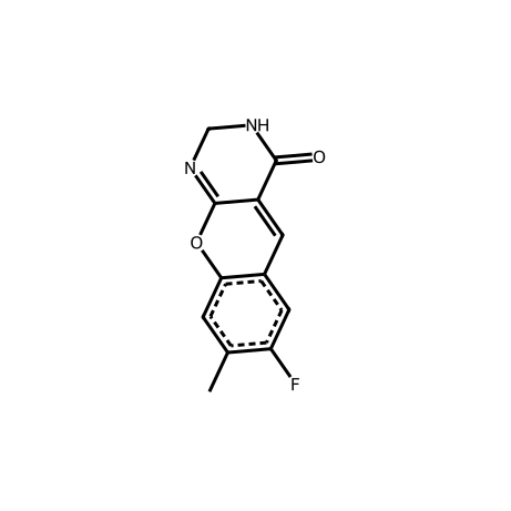 Cc1cc2c(cc1F)C=C1C(=O)NCN=C1O2